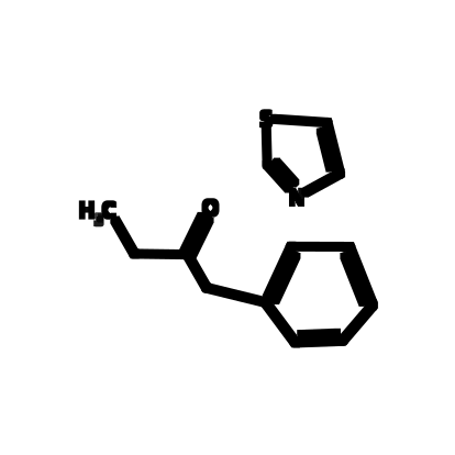 CCC(=O)Cc1ccccc1.c1cscn1